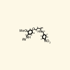 COc1cc(OCCC(C)NCc2ccc([N+](=O)[O-])cc2)ccc1CNC(C)C